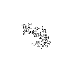 CC(C)[C@H](NC(=O)[C@H](Cc1ccc(O)cc1)NC(=O)[C@H](CO)NC(=O)[C@H](CCCNC(=N)N)NC(=O)[C@H](CO)NC(=O)[C@H](CO)NC(=O)[C@H](CO)NC(=O)[C@@H]1CCCN1C(=O)[C@@H](N)CCCNC(=N)N)C(=O)N[C@H](C(=O)N[C@H](C(=O)O)[C@@H](C)O)[C@@H](C)O